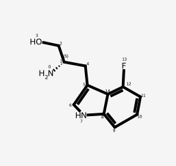 N[C@H](CO)Cc1c[nH]c2cccc(F)c12